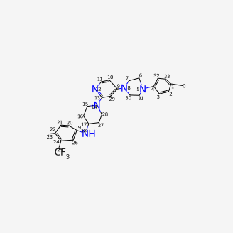 Cc1ccc(N2CCN(c3ccnc(N4CCC(Nc5ccc(C)c(C(F)(F)F)c5)CC4)c3)CC2)cc1